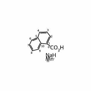 O=C(O)c1cccc2ccccc12.[Mn].[NaH]